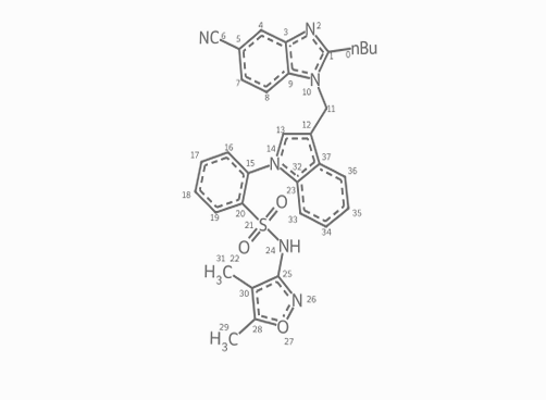 CCCCc1nc2cc(C#N)ccc2n1Cc1cn(-c2ccccc2S(=O)(=O)Nc2noc(C)c2C)c2ccccc12